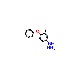 Cc1cc(NN)ccc1Oc1ccccc1